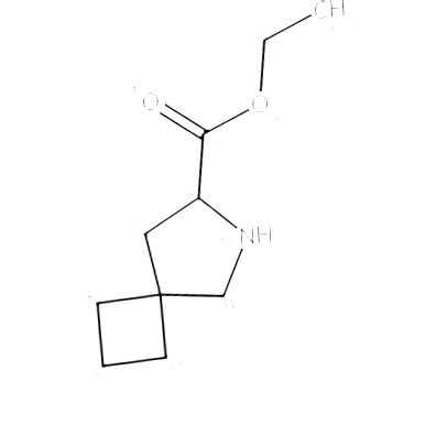 CCOC(=O)C1CC2(CCC2)CN1